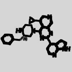 c1ccc(C[C@H]2CN(c3nc(-c4ccnc5[nH]ccc45)nc4cncc(C5CC5)c34)CCN2)cc1